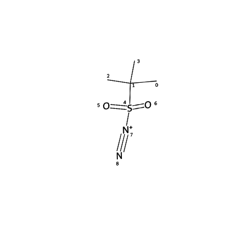 CC(C)(C)S(=O)(=O)[N+]#N